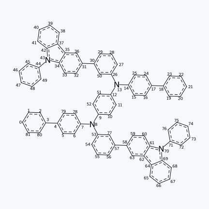 c1ccc(-c2ccc(N(c3ccc(N(c4ccc(-c5ccccc5)cc4)c4cccc(-c5ccc6c(c5)c5ccccc5n6-c5ccccc5)c4)cc3)c3cccc(-c4ccc5c(c4)c4ccccc4n5-c4ccccc4)c3)cc2)cc1